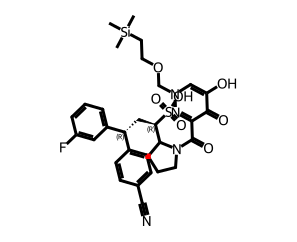 C[Si](C)(C)CCOCn1cc(O)c(=O)c(C(=O)N2CCCC2[C@@H](C[C@H](c2ccc(C#N)cc2)c2cccc(F)c2)S(=O)(=O)O)n1